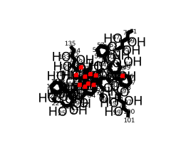 CC[C@@H](O)[C@H](O)[C@H](O)C(=O)NO[C@@]1(Cc2ccccc2)O[C@H](CO)[C@@H](O)[C@H](O)[C@@]1(O)N(C(=O)c1ccc2cc(C(=O)N([C@]3(O)[C@@H](O)[C@H](O)[C@@H](CO)O[C@]3(Cc3ccccc3)ONC(=O)[C@@H](O)[C@@H](O)[C@H](O)CC)[C@]3(O)[C@@H](O)[C@H](O)[C@@H](CO)O[C@]3(Cc3ccccc3)ONC(=O)[C@@H](O)[C@@H](O)[C@H](O)CC)ccc2c1)[C@]1(O)[C@@H](O)[C@H](O)[C@@H](CO)O[C@]1(Cc1ccccc1)ONC(=O)[C@@H](O)[C@@H](O)[C@H](O)CC